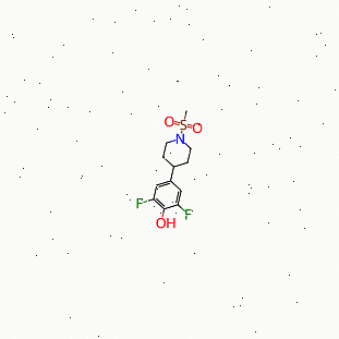 CS(=O)(=O)N1CCC(c2cc(F)c(O)c(F)c2)CC1